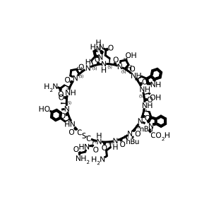 CCCC[C@H]1C(=O)N(C)[C@@H](CCCC)C(=O)N[C@@H](CCCN)C(=O)N[C@H](C(=O)NCC(N)=O)CSCC(=O)N[C@@H](Cc2ccc(O)cc2)C(=O)N(C)[C@@H](C)C(=O)N[C@@H](CC(N)=O)C(=O)N2CCC[C@H]2C(=O)N[C@@H](Cc2c[nH]cn2)C(=O)N[C@@H](CCC(N)=O)C(=O)N2C[C@H](O)C[C@H]2C(=O)N[C@@H](Cc2c[nH]c3ccccc23)C(=O)N[C@@H](CO)C(=O)N[C@@H](Cc2cn(CC(=O)O)c3ccccc23)C(=O)N1C